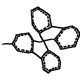 Cc1ccc2c(c1)-c1ccccc1C21c2ccccc2-c2ccccc21